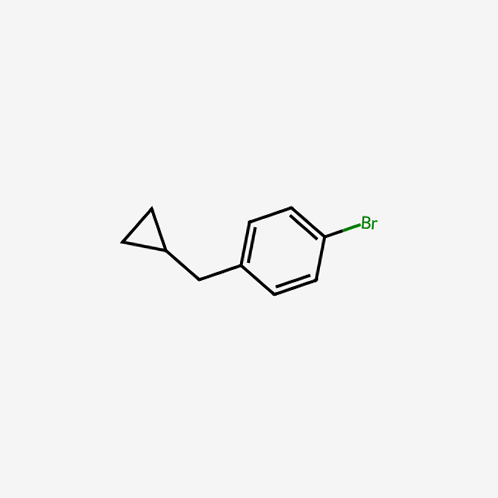 Brc1ccc(CC2CC2)cc1